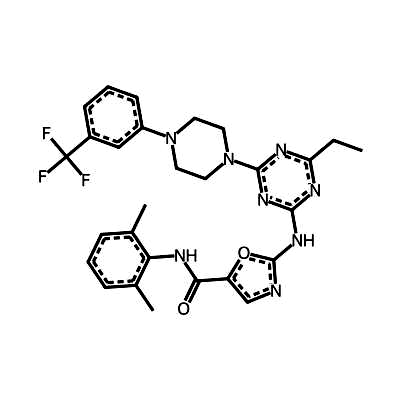 CCc1nc(Nc2ncc(C(=O)Nc3c(C)cccc3C)o2)nc(N2CCN(c3cccc(C(F)(F)F)c3)CC2)n1